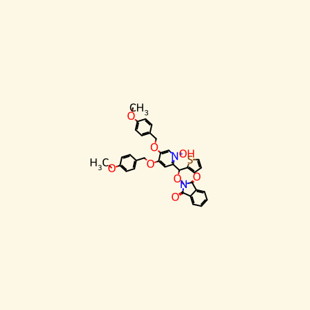 COc1ccc(COc2cc(C(ON3C(=O)c4ccccc4C3=O)c3cccs3)[n+](O)cc2OCc2ccc(OC)cc2)cc1